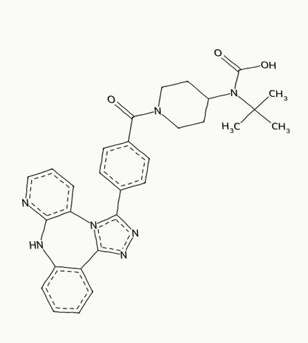 CC(C)(C)N(C(=O)O)C1CCN(C(=O)c2ccc(-c3nnc4n3-c3cccnc3Nc3ccccc3-4)cc2)CC1